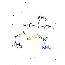 C/C=C\S/C(=N\N)C(C)(C)C